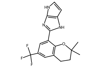 CC1(C)CCc2cc(C(F)(F)F)cc(-c3nc4[nH]ccc4[nH]3)c2O1